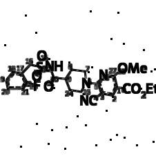 CCOC(=O)c1cc(C#N)c(N2CCC(C(=O)NS(=O)(=O)Cc3ccccc3F)CC2)nc1OC